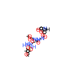 COc1ccc2c3c1OC1C(OC(=O)N(C)CCNC(=O)[C@H](CCCNC(=N)NS(=O)(=O)c4c(C)c(C)c5c(c4C)CC(C)(C)O5)NC(=O)CC(=O)OC(C)(C)C)=CCC4[C@@H](C2)N(C)CC[C@]314